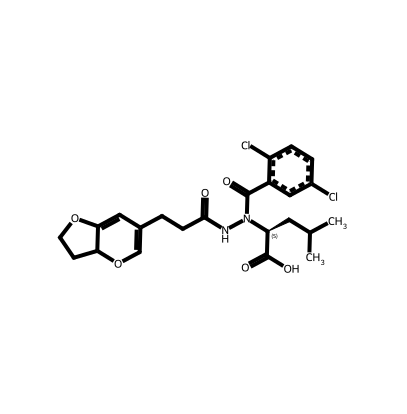 CC(C)C[C@@H](C(=O)O)N(NC(=O)CCC1=COC2CCOC2=C1)C(=O)c1cc(Cl)ccc1Cl